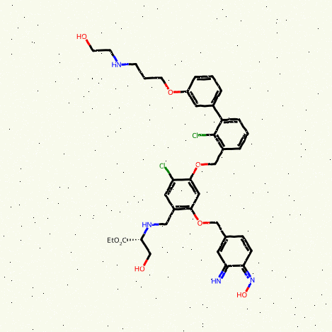 CCOC(=O)[C@@H](CO)NCc1cc(Cl)c(OCc2cccc(-c3cccc(OCCCNCCO)c3)c2Cl)cc1OCC1=CC(=N)/C(=N\O)C=C1